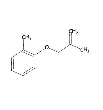 C=C(C)COc1[c]cccc1C